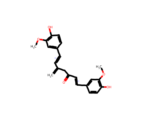 C=C(/C=C/c1ccc(O)c(OC)c1)CC(=O)/C=C/c1ccc(O)c(OC)c1